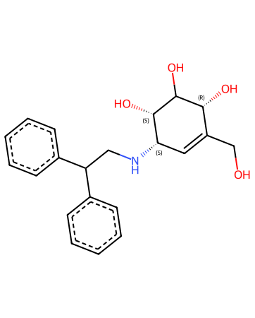 OCC1=C[C@H](NCC(c2ccccc2)c2ccccc2)[C@H](O)C(O)[C@@H]1O